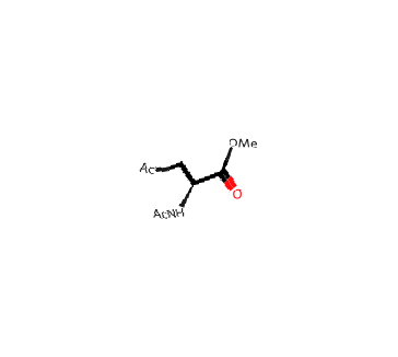 COC(=O)[C@H](CC(C)=O)NC(C)=O